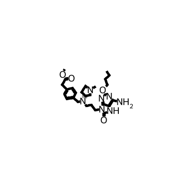 CCCCOc1nc(N)c2[nH]c(=O)n(CCCN(Cc3ccc(CC(=O)OC)cc3)[C@@H]3CCN(C)C3)c2n1